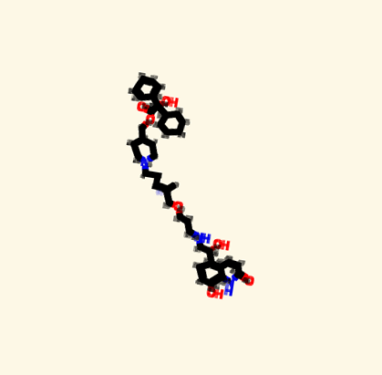 C/C(=C\CCN1CCC(COC(=O)C(O)(c2ccccc2)C2CCCCC2)CC1)COCCCNC[C@@H](O)c1ccc(O)c2[nH]c(=O)ccc12